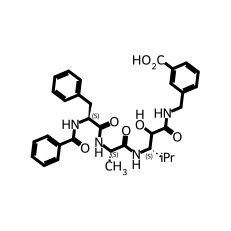 CC(C)[C@H](NC(=O)[C@H](C)NC(=O)[C@H](Cc1ccccc1)NC(=O)c1ccccc1)C(O)C(=O)NCc1cccc(C(=O)O)c1